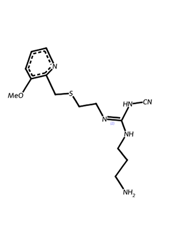 COc1cccnc1CSCC/N=C(\NC#N)NCCCN